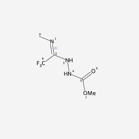 C/N=C(/NNC(=O)OC)C(F)(F)F